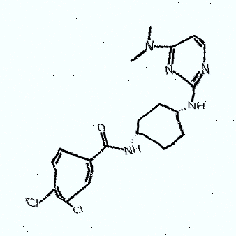 CN(C)c1ccnc(N[C@H]2CC[C@@H](NC(=O)c3ccc(Cl)c(Cl)c3)CC2)n1